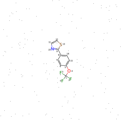 FC(F)(F)Oc1ccc(-c2n[c]cs2)cc1